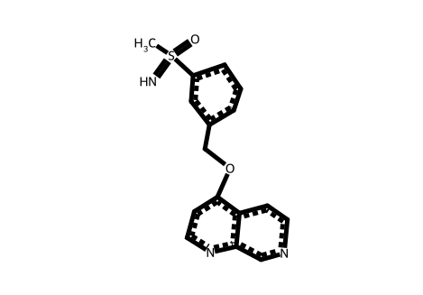 CS(=N)(=O)c1cccc(COc2ccnc3cnccc23)c1